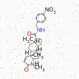 CN1C(=O)C=C[C@]2(C)[C@H]3CC[C@]4(C)[C@@H](C(=O)NCc5ccc([N+](=O)[O-])cc5)CC[C@H]4[C@@H]3CC[C@@H]12